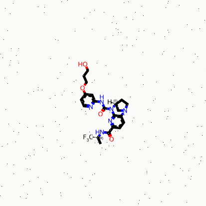 C[C@@H](NC(=O)c1ccc2c(n1)N(C(=O)Nc1cc(OCCCO)ccn1)[C@H]1CCN2C1)C(F)(F)F